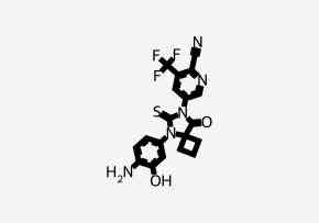 N#Cc1ncc(N2C(=O)C3(CCC3)N(c3ccc(N)c(O)c3)C2=S)cc1C(F)(F)F